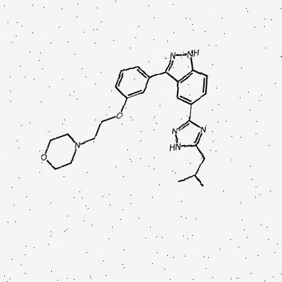 CC(C)Cc1nc(-c2ccc3[nH]nc(-c4cccc(OCCN5CCOCC5)c4)c3c2)n[nH]1